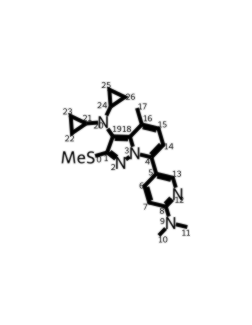 CSc1nn2c(-c3ccc(N(C)C)nc3)ccc(C)c2c1N(C1CC1)C1CC1